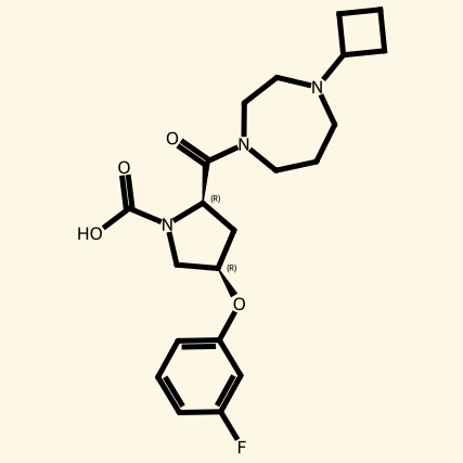 O=C([C@H]1C[C@@H](Oc2cccc(F)c2)CN1C(=O)O)N1CCCN(C2CCC2)CC1